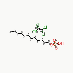 CCCCCCCCCCCCOS(=O)(=O)O.ClC(Cl)=C(Cl)Cl